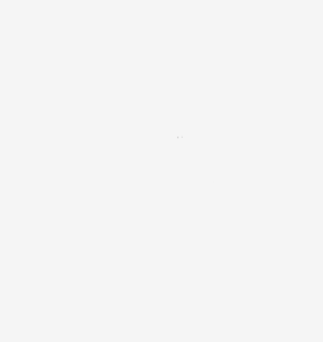 CCCCc1ccc2ccccc2c1C(=O)Oc1ccccc1